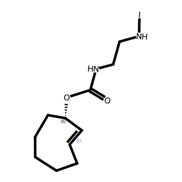 O=C(NCCNI)O[C@@H]1/C=C/CCCCC1